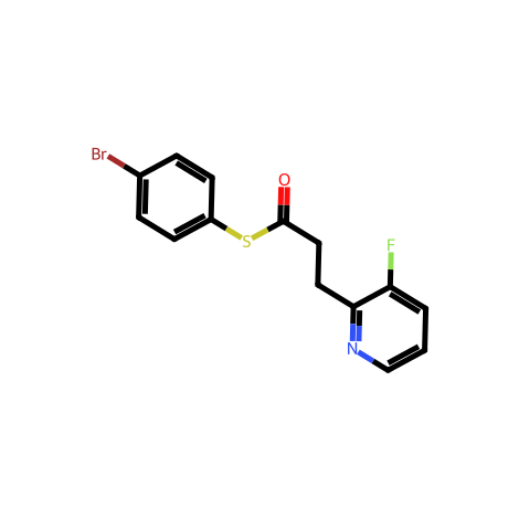 O=C(CCc1ncccc1F)Sc1ccc(Br)cc1